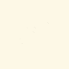 Fc1ccc(-c2ncn(C3CCNCC3)n2)cc1